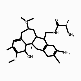 COC1=C(C)C=C2CC(N(C)C)CC3C(CNC(=O)[C@H](C)N)C4=C(CC(C)=C(N)C4)C[C@@]3(C)C2C1O